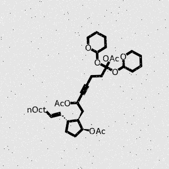 CCCCCCCCC=C[C@H]1CC[C@H](OC(C)=O)[C@@H]1CC(C#CCCC(OC(C)=O)(OC1CCCCO1)OC1CCCCO1)OC(C)=O